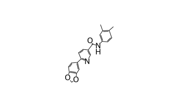 Cc1ccc(NC(=O)c2ccc(-c3ccc4c(c3)OCO4)nc2)cc1C